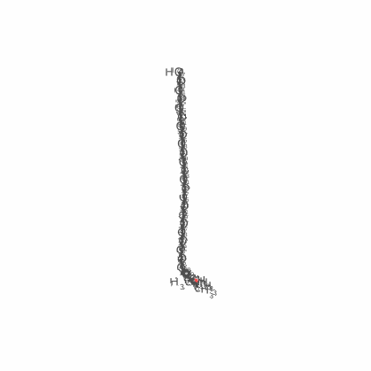 CC(C)(C)CC(C)(C)c1ccc(OCCOCCOCCOCCOCCOCCOCCOCCOCCOCCOCCOCCOCCOCCOCCOCCOCCOCCOCCOCCOCCOCCO)cc1